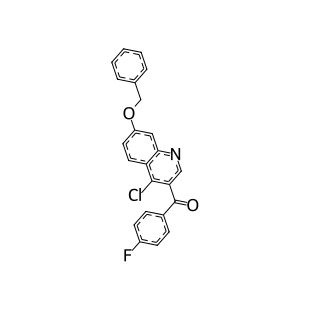 O=C(c1ccc(F)cc1)c1cnc2cc(OCc3ccccc3)ccc2c1Cl